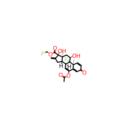 C=C1C[C@H]2[C@@H]3C=C(OC(C)=O)C4=CC(=O)C=C[C@]4(C)[C@@]3(F)[C@H](O)C[C@]2(C)[C@@]1(O)C(=O)OCF